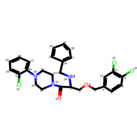 O=C(C(COCc1ccc(Cl)c(Cl)c1)NCc1ccccc1)N1CCN(c2ccccc2Cl)CC1